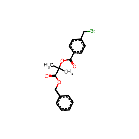 CC(C)(OC(=O)c1ccc(CBr)cc1)C(=O)OCc1ccccc1